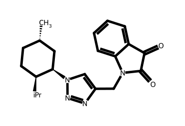 CC(C)[C@H]1CC[C@H](C)C[C@H]1n1cc(CN2C(=O)C(=O)c3ccccc32)nn1